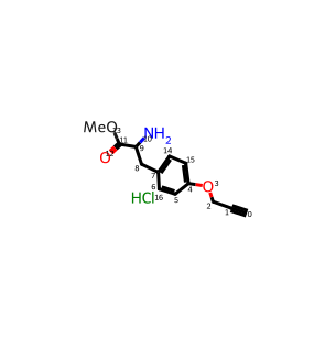 C#CCOc1ccc(CC(N)C(=O)OC)cc1.Cl